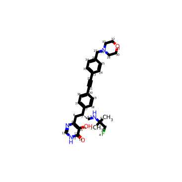 CC(C)(CF)NC[C@H](Cc1nc[nH]c(=O)c1O)c1ccc(C#Cc2ccc(CN3CCOCC3)cc2)cc1